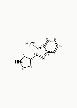 Cn1c(C2CCNC2)nc2ccccc21